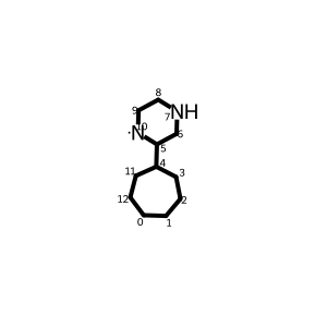 C1CCCC(C2CNCC[N]2)CC1